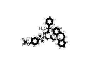 CC(C)(C(=O)O[C@H](CNS(=O)(=O)c1ccc(OC(F)(F)F)cc1)CN1c2ccccc2CCc2ccccc21)c1ccccc1